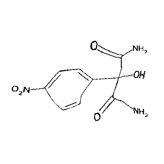 NC(=O)C(O)(C(N)=O)c1ccc([N+](=O)[O-])cc1